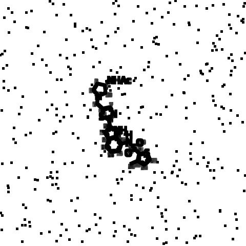 CC(=O)N[C@H]1CCN(Cc2cnc(-c3cc4cccc(NS(=O)(=O)c5sccc5C)c4[nH]3)s2)C1